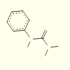 CCN(CC)C(=O)N(C=O)c1ccccc1